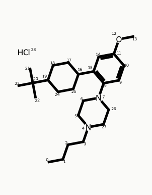 CCCCN1CCN(c2ccc(OC)cc2C2CCC(C(C)(C)C)CC2)CC1.Cl